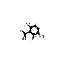 CC(=O)c1c(N)ccc(Cl)c1F